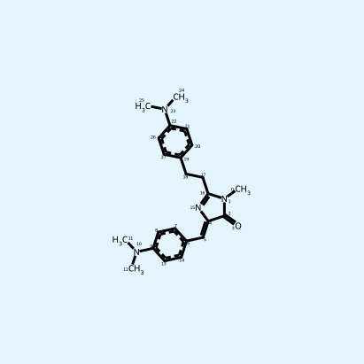 CN1C(=O)/C(=C/c2ccc(N(C)C)cc2)N=C1CCc1ccc(N(C)C)cc1